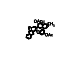 CC(=O)Oc1cccc([C@@]23CCN(C)C[C@H]2C(OC(C)=O)C[C@@H](N(CC(C)C)C(=O)c2ccc4ccccc4c2)C3)c1